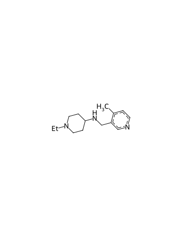 CCN1CCC(NCc2cnccc2C)CC1